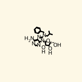 CC(C)CN(Cc1ccccc1)c1nc2c(N)ncnc2n1[C@@H]1O[C@H](CO)C(O)C1O